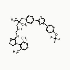 Cc1cccc(C)c1N1CCS/C1=N\CNCC(C)(C)Cc1ccc(-c2ncn(-c3ccc(OC(F)(F)F)cc3)n2)cc1